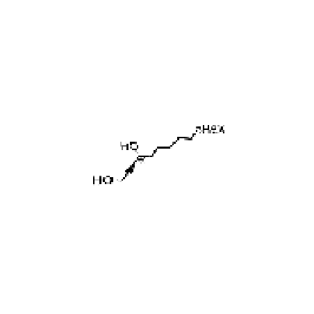 CCCCCCCCCCC[C@@H](O)C#CCO